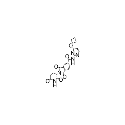 O=C1CCC(N2C(=O)c3ccc(C(=O)Nc4nccc(OC5CCC5)n4)cc3C2=O)C(=O)N1